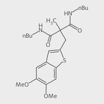 CCCCNC(=O)C(C)(Cc1cc2cc(OC)c(OC)cc2s1)C(=O)NCCCC